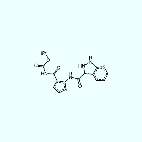 CC(C)OC(=O)NC(=O)c1ccsc1NC(=O)C1NNc2ncccc21